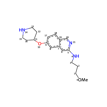 COCCCNc1cc2cc(OC3CCNCC3)ccc2cn1